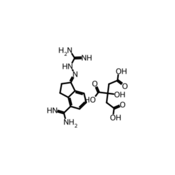 N=C(N)NN=C1CCc2c(C(=N)N)cccc21.O=C(O)CC(O)(CC(=O)O)C(=O)O